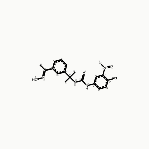 CC(=NO)c1cccc(C(C)(C)NC(=O)Nc2ccc(Cl)c([N+](=O)[O-])c2)c1